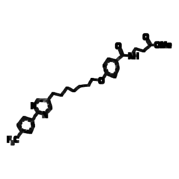 COC(=O)CCNC(=O)c1ccc(OCCCCCCCc2cnc(-c3ccc(C(F)(F)F)cc3)nc2)cc1